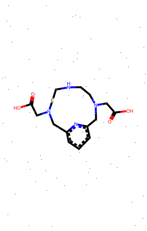 O=C(O)CN1CCNCCN(CC(=O)O)Cc2cccc(n2)C1